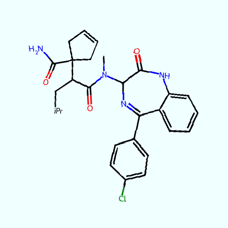 CC(C)CC(C(=O)N(C)C1N=C(c2ccc(Cl)cc2)c2ccccc2NC1=O)C1(C(N)=O)CC=CC1